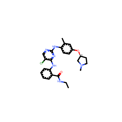 CCNC(=O)c1ccccc1Nc1nc(Nc2ccc(O[C@H]3CCN(C)C3)cc2C)ncc1Cl